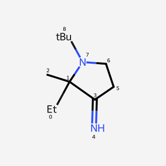 CCC1(C)C(=N)CCN1C(C)(C)C